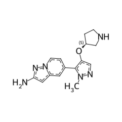 Cn1ncc(O[C@H]2CCNC2)c1-c1ccn2nc(N)cc2c1